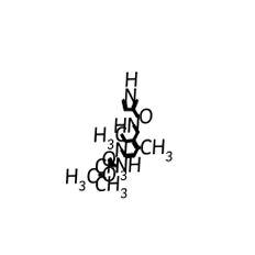 Cc1cc(NC(=O)OC(C)(C)C)nc(C)c1CNC(=O)c1cc[nH]c1